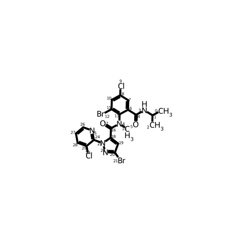 CC(C)NC(=O)c1cc(Cl)cc(Br)c1N(C)C(=O)c1cc(Br)nn1-c1ncccc1Cl